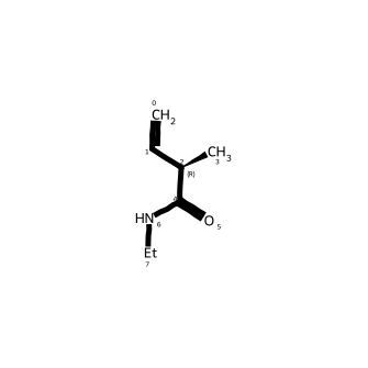 C=C[C@@H](C)C(=O)NCC